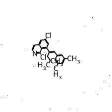 Cc1cc(C)cc(/C=C(\CC(C)C)c2cc(Cl)cc3ccnc(Cl)c23)c1